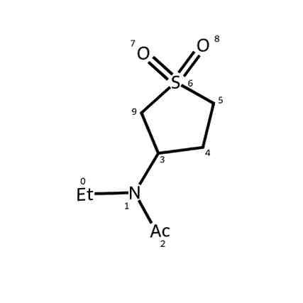 CCN(C(C)=O)C1CCS(=O)(=O)C1